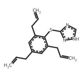 C=CCc1cc(CC=C)c(Sc2nc[nH]n2)c(CC=C)c1